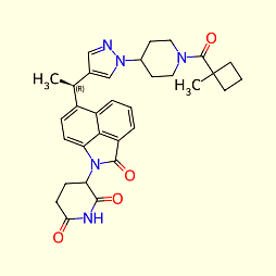 C[C@@H](c1cnn(C2CCN(C(=O)C3(C)CCC3)CC2)c1)c1ccc2c3c(cccc13)C(=O)N2C1CCC(=O)NC1=O